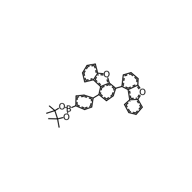 CC1(C)OB(c2ccc(-c3ccc(-c4cccc5oc6ccccc6c45)c4oc5ccccc5c34)cc2)OC1(C)C